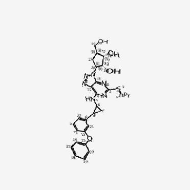 CCCSc1nc(NC2CC2c2cccc(Oc3ccccc3)c2)c2nnn([C@H]3C[C@@H](CO)[C@H](O)[C@@H]3O)c2n1